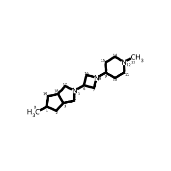 CC1CC2CN(C3CN(C4CCN(C)CC4)C3)CC2C1